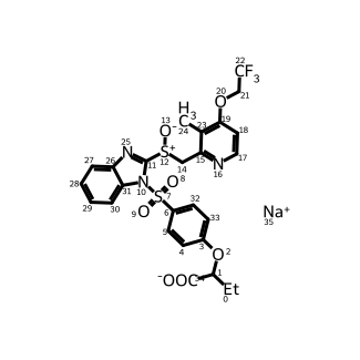 CCC(Oc1ccc(S(=O)(=O)n2c([S+]([O-])Cc3nccc(OCC(F)(F)F)c3C)nc3ccccc32)cc1)C(=O)[O-].[Na+]